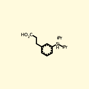 CC(C)[SiH](c1cccc(CCC(=O)O)c1)C(C)C